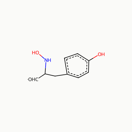 O=[C]C(Cc1ccc(O)cc1)NO